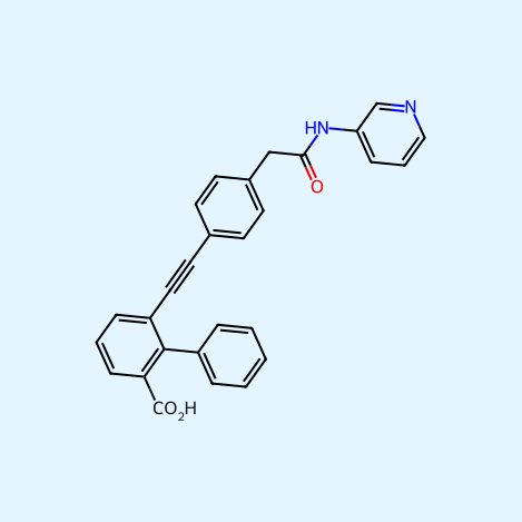 O=C(Cc1ccc(C#Cc2cccc(C(=O)O)c2-c2ccccc2)cc1)Nc1cccnc1